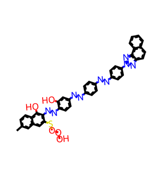 Cc1ccc2c(O)c(N=Nc3ccc(N=Nc4ccc(N=Nc5ccc(-n6nc7ccc8ccccc8c7n6)cc5)cc4)cc3O)c(SOOO)cc2c1